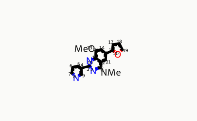 CNc1nc(-c2cccnc2)nc2c(OC)cc(-c3ccco3)cc12